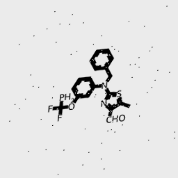 Cc1sc(N(Cc2ccccc2)c2cccc(OC(F)(F)P)c2)nc1C=O